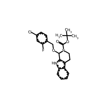 CC(C)(C)OC(=O)N1CCc2c([nH]c3ccccc23)C1OCc1ccc(Cl)cc1F